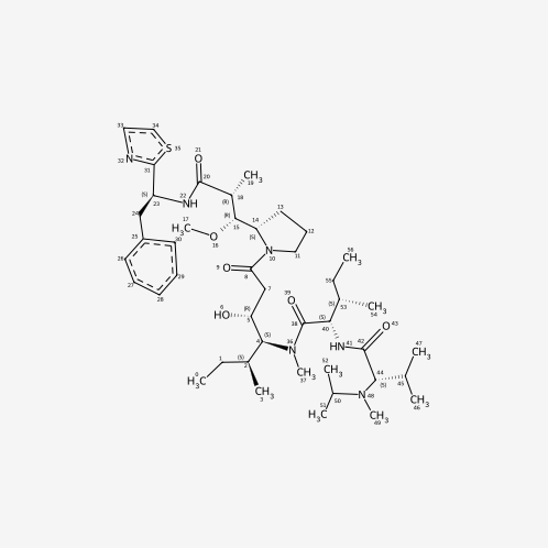 CC[C@H](C)[C@@H]([C@H](O)CC(=O)N1CCC[C@H]1[C@H](OC)[C@@H](C)C(=O)N[C@@H](Cc1ccccc1)c1nccs1)N(C)C(=O)[C@@H](NC(=O)[C@H](C(C)C)N(C)C(C)C)[C@@H](C)CC